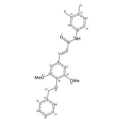 COc1cc(/C=C/C(=O)Nc2ccc(C)c(C)c2)cc(OC)c1OCc1ccccc1